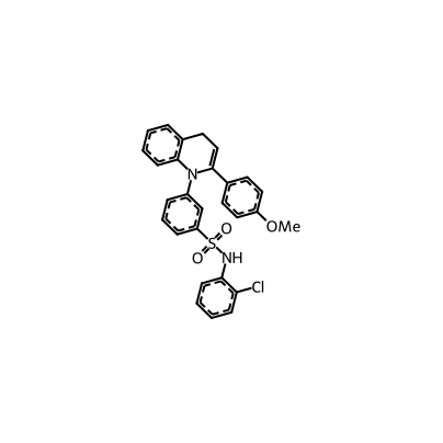 COc1ccc(C2=CCc3ccccc3N2c2cccc(S(=O)(=O)Nc3ccccc3Cl)c2)cc1